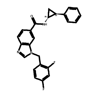 O=C(N[C@@H]1C[C@H]1c1ccccc1)c1ccc2ncn(Cc3ccc(F)cc3F)c2c1